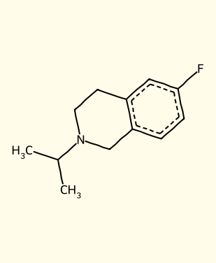 CC(C)N1CCc2cc(F)ccc2C1